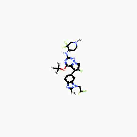 [2H]C([2H])([2H])Oc1nc(N[C@@H]2CCN(C(C)=O)CC2(F)F)nn2cc(F)c(-c3ccc4nc(C)n(CC(F)F)c4c3)c12